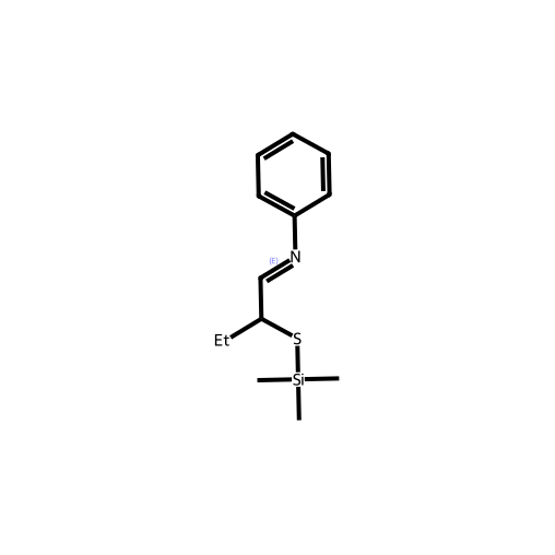 CCC(/C=N/c1ccccc1)S[Si](C)(C)C